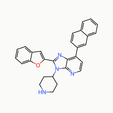 c1ccc2cc(-c3ccnc4c3nc(-c3cc5ccccc5o3)n4C3CCNCC3)ccc2c1